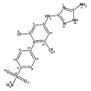 Nc1nc(Nc2cc(Cl)c(-c3ccc(S(N)(=O)=O)cc3)c(C(F)(F)F)c2)n[nH]1